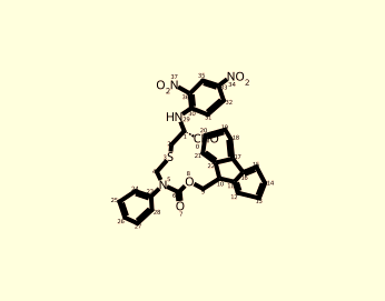 O=C[C@H](CSCN(C(=O)OCC1c2ccccc2-c2ccccc21)c1ccccc1)Nc1ccc([N+](=O)[O-])cc1[N+](=O)[O-]